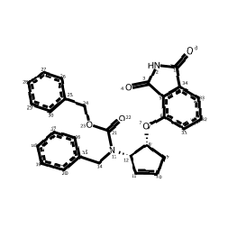 O=C1NC(=O)c2c(O[C@@H]3CC=C[C@@H]3N(Cc3ccccc3)C(=O)OCc3ccccc3)cccc21